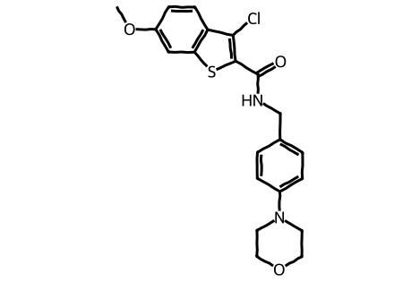 COc1ccc2c(Cl)c(C(=O)NCc3ccc(N4CCOCC4)cc3)sc2c1